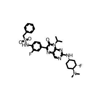 CC(C)n1c(=O)c(-c2ccc(NS(=O)(=O)Cc3ccccc3)c(F)c2)nc2cnc(N[C@H]3CC[C@H](N(C)C)[C@@H](F)C3)nc21